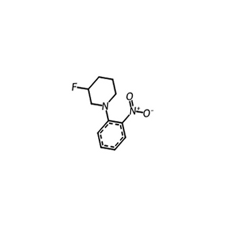 O=[N+]([O-])c1ccccc1N1CCCC(F)C1